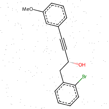 COc1cccc(C#C[C@H](O)Cc2ccccc2Br)c1